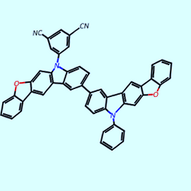 N#Cc1cc(C#N)cc(-n2c3ccc(-c4ccc5c(c4)c4cc6c(cc4n5-c4ccccc4)oc4ccccc46)cc3c3cc4c(cc32)oc2ccccc24)c1